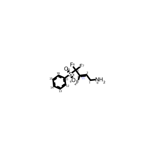 NC/C=C(\F)C(F)(F)S(=O)(=O)c1ccccc1